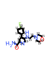 NC(=O)c1cc(-c2ccc(F)cc2)c(NCCN2CCOCC2)cn1